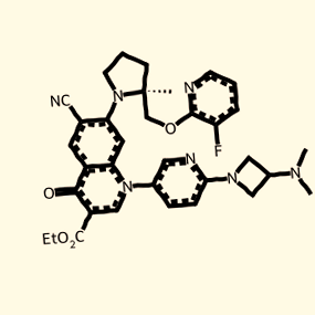 CCOC(=O)c1cn(-c2ccc(N3CC(N(C)C)C3)nc2)c2cc(N3CCC[C@@]3(C)COc3ncccc3F)c(C#N)cc2c1=O